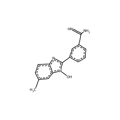 Cc1ccc2nc(-c3cccc(C(=N)N)c3)n(O)c2c1